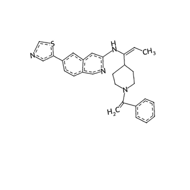 C=C(c1ccccc1)N1CCC(/C(=C\C)Nc2cc3cc(-c4cncs4)ccc3cn2)CC1